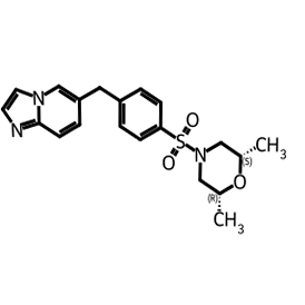 C[C@@H]1CN(S(=O)(=O)c2ccc(Cc3ccc4nccn4c3)cc2)C[C@H](C)O1